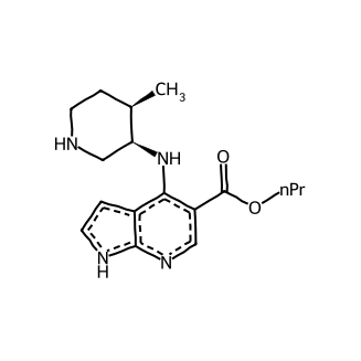 CCCOC(=O)c1cnc2[nH]ccc2c1N[C@H]1CNCC[C@H]1C